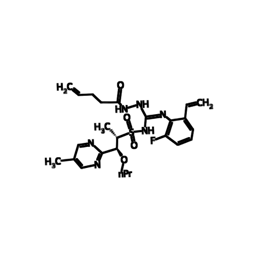 C=CCCC(=O)NN/C(=N/c1c(F)cccc1C=C)NS(=O)(=O)[C@@H](C)[C@@H](OCCC)c1ncc(C)cn1